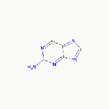 N[C]1N=CC2=NC=NC2=N1